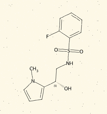 Cn1cccc1[C@@H](O)CNS(=O)(=O)c1ccccc1F